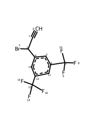 C#CC(Br)c1cc(C(F)(F)F)cc(C(F)(F)F)c1